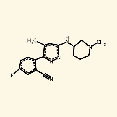 Cc1cc(N[C@@H]2CCCN(C)C2)nnc1-c1ccc(F)cc1C#N